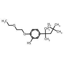 CCOCCOc1ccc(C(C)(C)CC(C)(C)C)cc1S